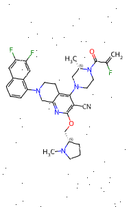 C=C(F)C(=O)N1CCN(c2c(C#N)c(OC[C@@H]3CCCN3C)nc3c2CCN(c2cccc4cc(F)c(F)cc24)C3)C[C@@H]1C